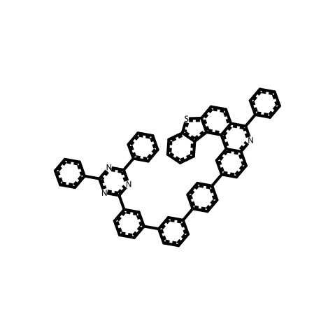 c1ccc(-c2nc(-c3ccccc3)nc(-c3cccc(-c4cccc(-c5ccc(-c6ccc7nc(-c8ccccc8)c8ccc9sc%10ccccc%10c9c8c7c6)cc5)c4)c3)n2)cc1